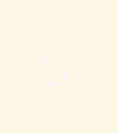 c1cnc2c(SC3CCCC3)ncnc2c1